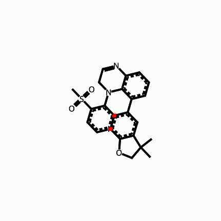 CC1(C)COc2ccc(-c3cccc4c3N(c3cnccc3S(C)(=O)=O)CC=N4)cc21